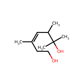 CC(=CC(C)C(C)(C)O)CCO